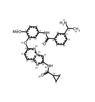 COc1ccc(NC(=O)c2cccc(C(C)N)c2)cc1Oc1ccc2nc(NC(=O)C3CC3)cn2n1